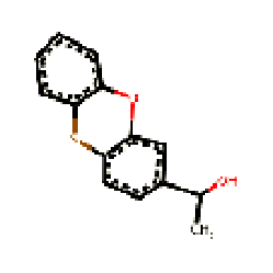 CC(O)c1ccc2c(c1)Oc1ccccc1S2